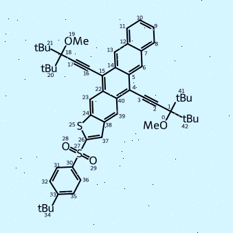 COC(C#Cc1c2cc3ccccc3cc2c(C#CC(OC)(C(C)(C)C)C(C)(C)C)c2cc3sc(S(=O)(=O)c4ccc(C(C)(C)C)cc4)cc3cc12)(C(C)(C)C)C(C)(C)C